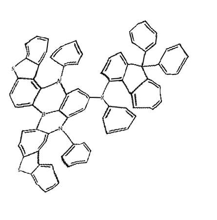 c1ccc(N(c2cc3c4c(c2)N(c2ccccc2)c2c(ccc5sc6ccccc6c25)B4c2ccc4sc5ccccc5c4c2N3c2ccccc2)c2cccc3c2-c2ccccc2C3(c2ccccc2)c2ccccc2)cc1